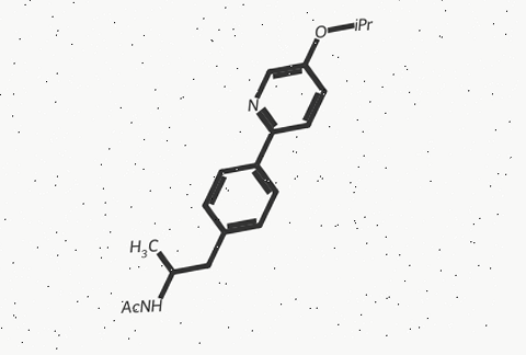 CC(=O)NC(C)Cc1ccc(-c2ccc(OC(C)C)cn2)cc1